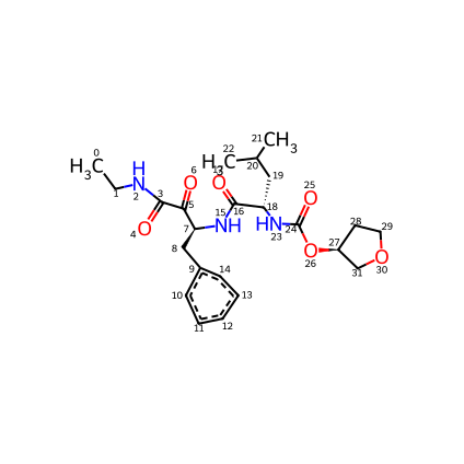 CCNC(=O)C(=O)[C@H](Cc1ccccc1)NC(=O)[C@H](CC(C)C)NC(=O)O[C@H]1CCOC1